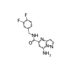 Nc1cc(C(=O)NCc2ccc(F)c(F)c2)nc2ccnn12